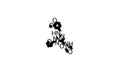 COc1ccc(CNc2ncc(C(=O)NN3CCOCC3)c3nc(-c4ccco4)nn23)cc1OC